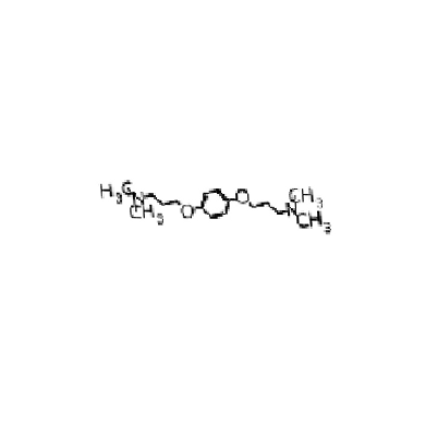 CN(C)CCCOc1ccc(OCCCN(C)C)cc1